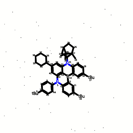 CC(C)(C)c1ccc(N2c3ccc(C(C)(C)C)cc3B3c4cc(C(C)(C)C)ccc4N(C4CC5CCC4(C)C5(C)C)c4cc(C5CCCCC5)cc2c43)cc1